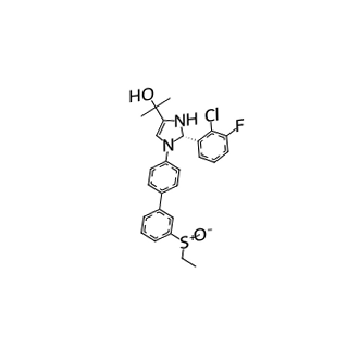 CC[S+]([O-])c1cccc(-c2ccc(N3C=C(C(C)(C)O)N[C@@H]3c3cccc(F)c3Cl)cc2)c1